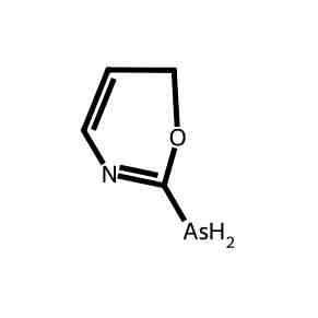 [AsH2]C1=NC=CCO1